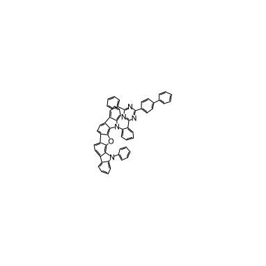 c1ccc(-c2ccc(-c3nc(-c4ccccc4)nc(-c4ccccc4-n4c5ccccc5c5ccc6c7ccc8c9ccccc9n(-c9ccccc9)c8c7oc6c54)n3)cc2)cc1